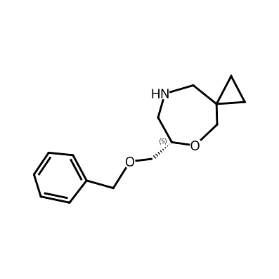 c1ccc(COC[C@@H]2CNCC3(CC3)CO2)cc1